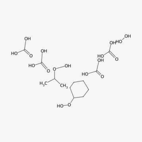 CC(C)OO.O=C(O)O.O=C(O)O.O=C(O)O.O=C(O)O.OO.OOC1CCCCC1